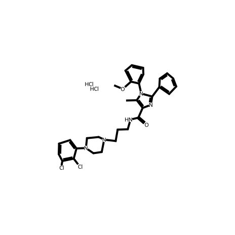 COc1ccccc1-n1c(-c2ccccc2)nc(C(=O)NCCCN2CCN(c3cccc(Cl)c3Cl)CC2)c1C.Cl.Cl